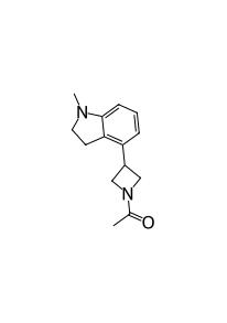 CC(=O)N1CC(c2cccc3c2CCN3C)C1